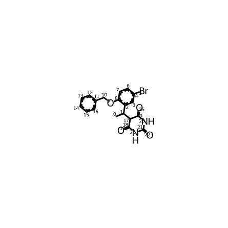 CC(c1cc(Br)ccc1OCc1ccccc1)C1C(=O)NC(=O)NC1=O